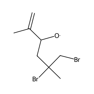 C=C(C)C([O])CC(C)(Br)CBr